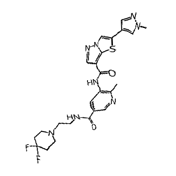 Cc1ncc(C(=O)NCCN2CCC(F)(F)CC2)cc1NC(=O)c1cnn2cc(-c3cnn(C)c3)sc12